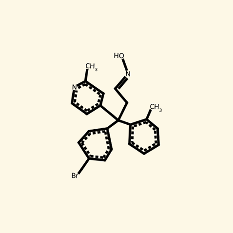 Cc1cc(C(CC=NO)(c2ccc(Br)cc2)c2ccccc2C)ccn1